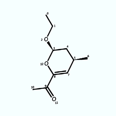 CCO[C@H]1C[C@@H](C)C=C(C(C)=O)O1